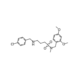 COc1ccc(CN(C)S(=O)(=O)CCCNCc2ccc(Cl)cc2)c(OC)c1